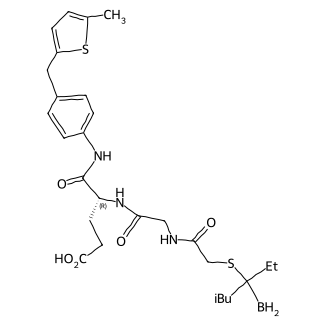 BC(CC)(SCC(=O)NCC(=O)N[C@H](CCC(=O)O)C(=O)Nc1ccc(Cc2ccc(C)s2)cc1)C(C)CC